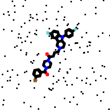 O=C(CCCN1CCC2C(C1)c1cc(F)ccc1N2c1ccc(F)cc1)N1CCN(C(=O)c2cccc(Br)c2)CC1